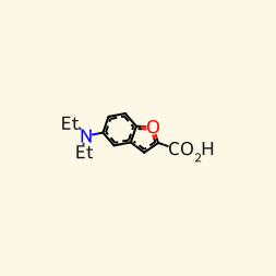 CCN(CC)c1ccc2oc(C(=O)O)cc2c1